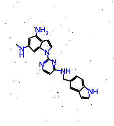 CNc1cc(N)c2ccn(-c3nccc(NCc4ccc5[nH]ccc5c4)n3)c2c1